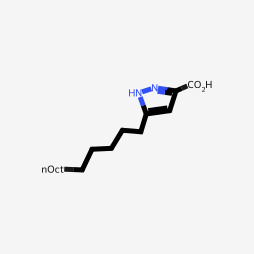 CCCCCCCCCCCCCc1cc(C(=O)O)n[nH]1